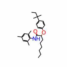 CCCCCCC(Oc1ccc(C(C)(C)CC)cc1)C(=O)Nc1c(C)cc(C)cc1C